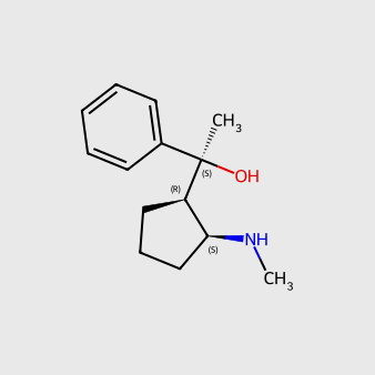 CN[C@H]1CCC[C@H]1[C@](C)(O)c1ccccc1